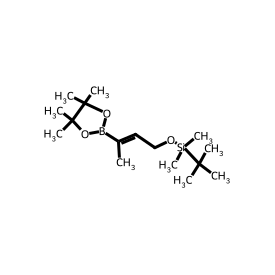 CC(=CCO[Si](C)(C)C(C)(C)C)B1OC(C)(C)C(C)(C)O1